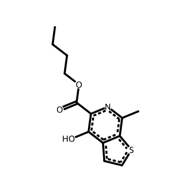 CCCCOC(=O)c1nc(C)c2sccc2c1O